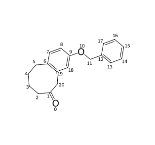 O=C1CCCCc2ccc(OCc3ccccc3)cc2C1